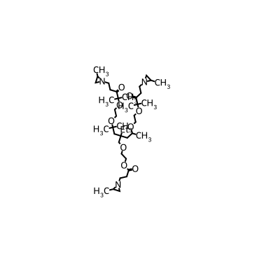 CCC(COCCOC(=O)CCN1CC1C)(CC(C)OCCOC(C)(C)C(=O)CCN1CC1C)CC(C)(C)OCCOC(C)(C)C(=O)CCN1CC1C